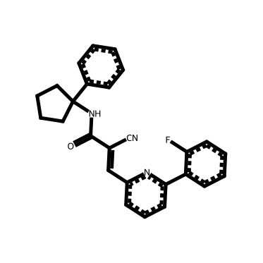 N#C/C(=C\c1cccc(-c2ccccc2F)n1)C(=O)NC1(c2ccccc2)CCCC1